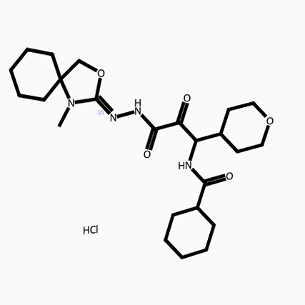 CN1/C(=N/NC(=O)C(=O)C(NC(=O)C2CCCCC2)C2CCOCC2)OCC12CCCCC2.Cl